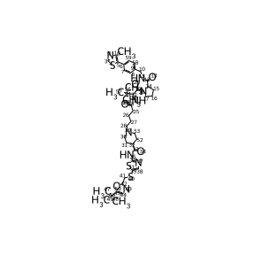 Cc1ncsc1-c1ccc(CNC(=O)C2CCCN2C(=O)C(NC(=O)CCCCN2CCC(C(=O)Nc3ncc(SCc4ncc(C(C)(C)C)o4)s3)CC2)C(C)(C)C)cc1